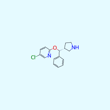 Clc1ccc(OC(c2ccccc2)[C@@H]2CCNC2)nc1